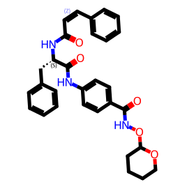 O=C(/C=C\c1ccccc1)N[C@@H](Cc1ccccc1)C(=O)Nc1ccc(C(=O)NOC2CCCCO2)cc1